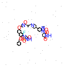 Cn1c(=O)n(C2CCC(=O)NC2=O)c2ccc(C3CCN(CC4CC4C(=O)N4CC(Oc5ccc6cc(OCc7ccccc7)c(N7CC(=O)NS7(=O)=O)c(F)c6c5)C4)CC3)cc21